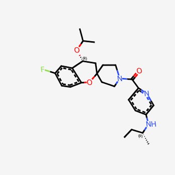 CC[C@@H](C)Nc1ccc(C(=O)N2CCC3(CC2)C[C@@H](OC(C)C)c2cc(F)ccc2O3)nc1